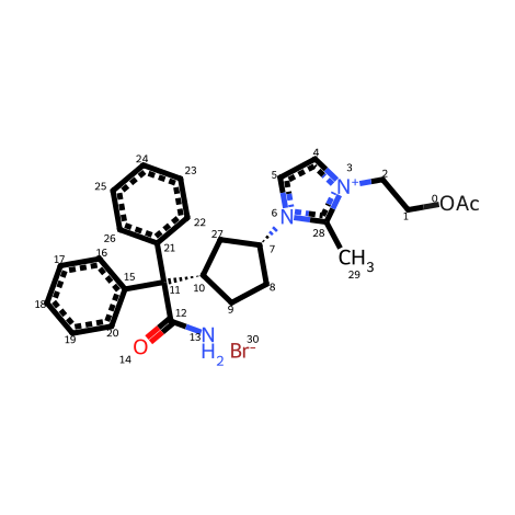 CC(=O)OCC[n+]1ccn([C@@H]2CC[C@H](C(C(N)=O)(c3ccccc3)c3ccccc3)C2)c1C.[Br-]